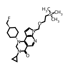 C[Si](C)(C)CCOCn1ccc2c3c(cnc21)C(=O)N(C1CC1)CN3[C@H]1CC[C@H](CF)CC1